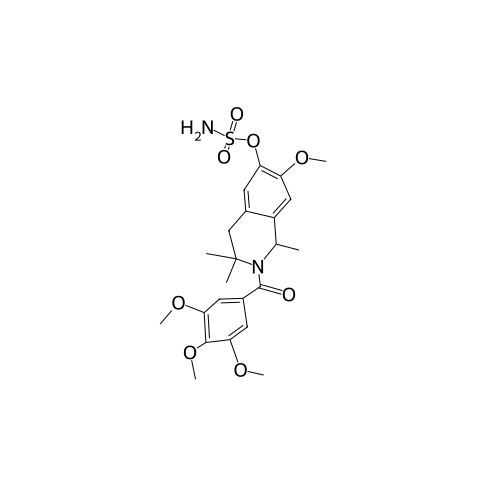 COc1cc2c(cc1OS(N)(=O)=O)CC(C)(C)N(C(=O)c1cc(OC)c(OC)c(OC)c1)C2C